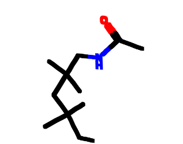 CCC(C)(C)CC(C)(C)CNC(C)=O